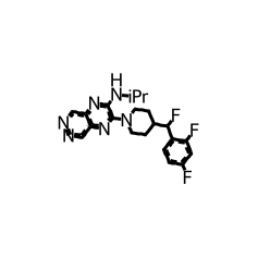 CC(C)Nc1nc2cnncc2nc1N1CCC(C(F)c2ccc(F)cc2F)CC1